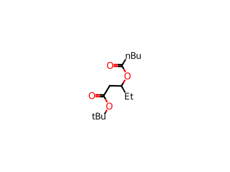 CCCCC(=O)OC(CC)CC(=O)OC(C)(C)C